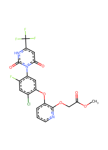 COC(=O)COc1ncccc1Oc1cc(-n2c(=O)cc(C(F)(F)F)[nH]c2=O)c(F)cc1Cl